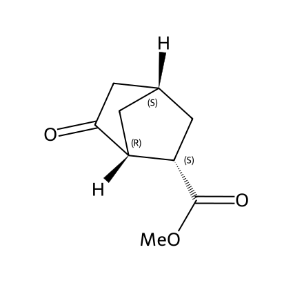 COC(=O)[C@H]1C[C@H]2CC(=O)[C@@H]1C2